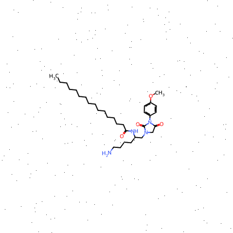 CCCCCCCCCCCCCCCC(=O)NC(CCCCN)CN1CC(=O)N(c2ccc(OC)cc2)C1=O